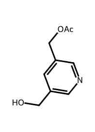 CC(=O)OCc1cncc(CO)c1